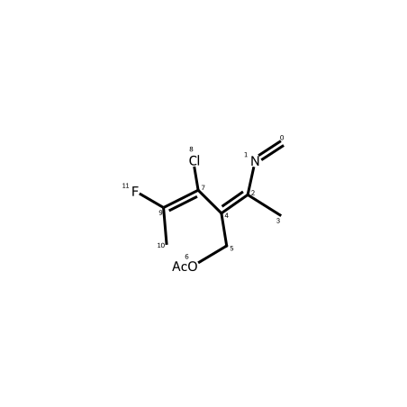 C=N/C(C)=C(COC(C)=O)\C(Cl)=C(/C)F